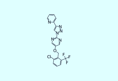 FC(F)(F)c1cccc(Cl)c1COc1cnc(-n2cc(-c3ccccn3)nn2)nc1